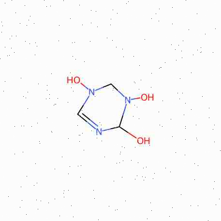 OC1N=CN(O)CN1O